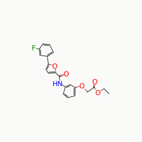 CCOC(=O)COc1cccc(NC(=O)c2ccc(-c3cccc(F)c3)o2)c1